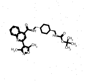 Cc1noc(C)c1-c1cc(C(=O)NC[C@H]2CC[C@H](CNC(=O)OC(C)(C)C)CC2)c2ccccc2n1